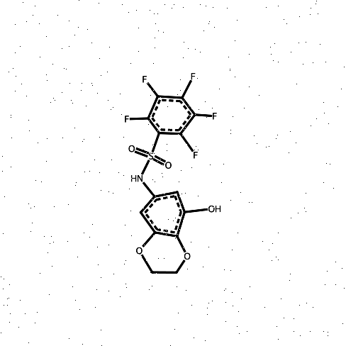 O=S(=O)(Nc1cc(O)c2c(c1)OCCO2)c1c(F)c(F)c(F)c(F)c1F